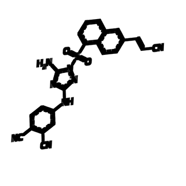 N#CC=Cc1ccc2c(S(=O)(=O)n3nc(Nc4ccc(C#N)c(C#N)c4)nc3N)cccc2c1